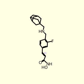 O=C(/C=C/c1ccc(CNCC23CC4CC(C2)C(C4)C3)c(F)c1)NO